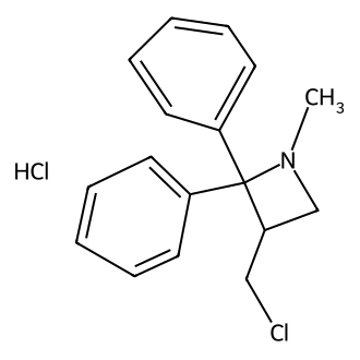 CN1CC(CCl)C1(c1ccccc1)c1ccccc1.Cl